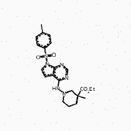 CCOC(=O)C1(C)CCCN(Nc2ncnc3c2ccn3S(=O)(=O)c2ccc(C)cc2)C1